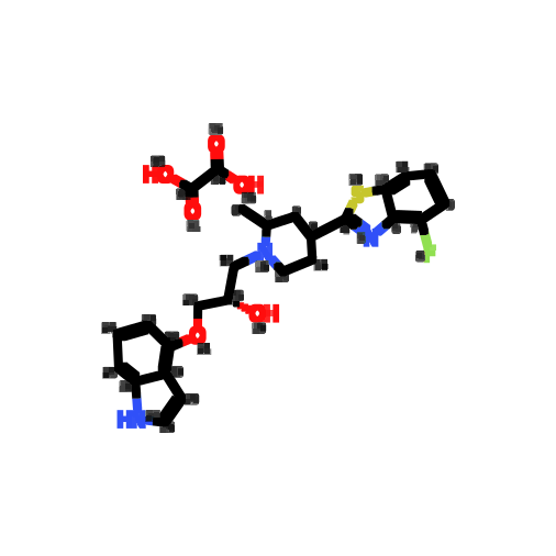 CC1CC(c2nc3c(F)cccc3s2)CCN1C[C@H](O)COc1cccc2[nH]ccc12.O=C(O)C(=O)O